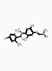 CCN(C)C=Nc1cc(C)c(N(C)Cc2ccc(F)cc2C)cc1Cl